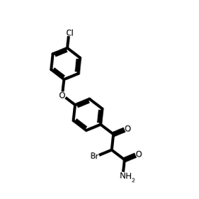 NC(=O)C(Br)C(=O)c1ccc(Oc2ccc(Cl)cc2)cc1